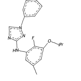 Cc1cc(Nc2ncn(-c3ccccc3)n2)c(F)c(OC(C)C)c1